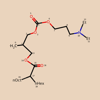 [CH2]C(COC(=O)OCCCN(CC)CC)COC(=O)C(CCCCCC)CCCCCCCC